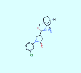 N#CC1[C@H]2CC[C@@H]1[C@H](NC(=O)[C@H]1CC(=O)N(c3cccc(Cl)c3)C1)C2